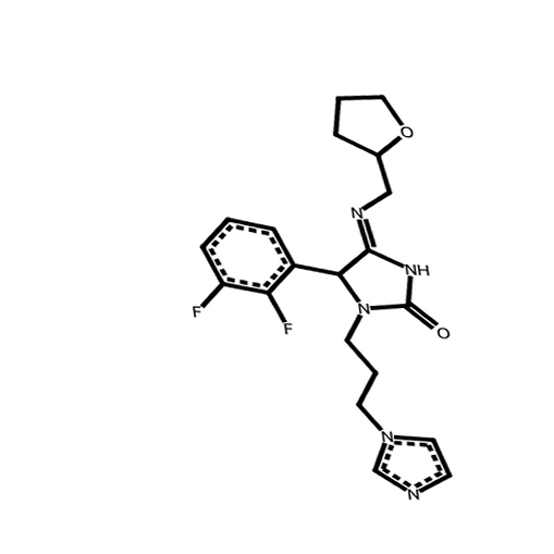 O=C1N/C(=N\CC2CCCO2)C(c2cccc(F)c2F)N1CCCn1ccnc1